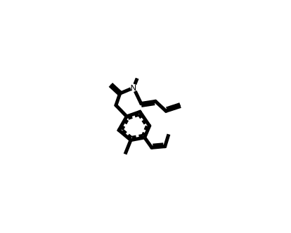 C=C/C=C/N(C)C(=C)Cc1ccc(/C=C\C)c(C)c1